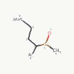 CSCCC(C(C)=O)[S+](C)[O-]